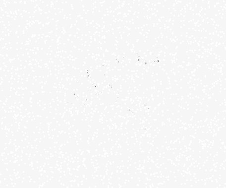 CC(C)(C)[C@@H]1NC(=O)O[C@@H]2CC3C[C@@H]3[C@H]2CCCCC(F)(F)c2nc3cc(F)c(F)cc3nc2O[C@@H]2C[C@@H](C(=O)N[C@]3(C(=O)NS(=O)(=O)C4CC4)C[C@H]3C(F)F)N(C2)C1=O